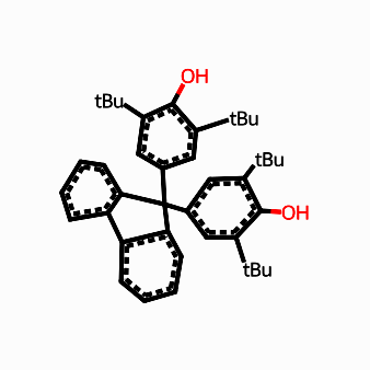 CC(C)(C)c1cc(C2(c3cc(C(C)(C)C)c(O)c(C(C)(C)C)c3)c3ccccc3-c3ccccc32)cc(C(C)(C)C)c1O